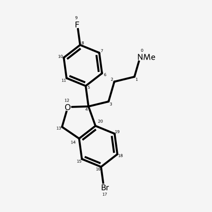 CNCCCC1(c2ccc(F)cc2)OCc2cc(Br)ccc21